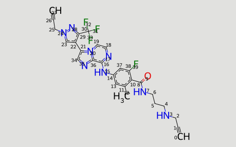 C#CCNCCCNC(=O)c1c(C)cc(Nc2nccn3c(-c4cn(CC#C)nc4C(F)(F)F)cnc23)cc1F